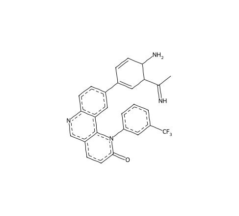 CC(=N)C1C=C(c2ccc3ncc4ccc(=O)n(-c5cccc(C(F)(F)F)c5)c4c3c2)C=CC1N